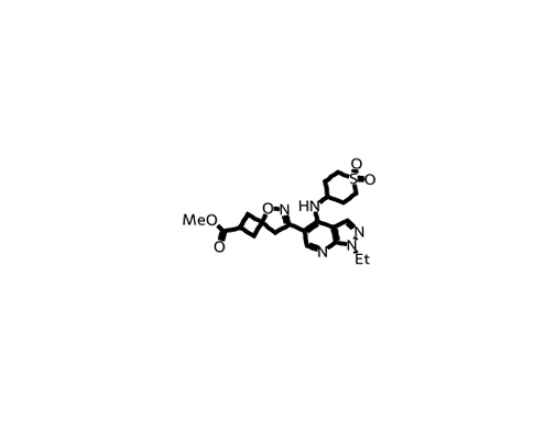 CCn1ncc2c(NC3CCS(=O)(=O)CC3)c(C3=NOC4(C3)CC(C(=O)OC)C4)cnc21